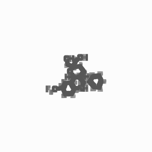 OCC1(CO)CC[C@@H]2[C@H](O1)c1cc(C(F)(F)F)ccc1N[C@H]2c1ccccc1